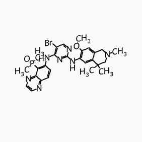 COc1cc2c(cc1Nc1ncc(Br)c(Nc3ccc4nccnc4c3P(C)(C)=O)n1)C(C)(C)CN(C)C2